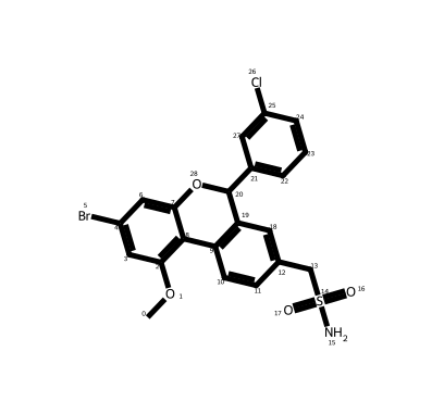 COc1cc(Br)cc2c1-c1ccc(CS(N)(=O)=O)cc1C(c1cccc(Cl)c1)O2